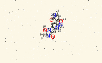 COC1=N[C@H](C(C)C)C(OC)=N[C@H]1Cc1ccc(-c2c(OC)cc(C)n(C)c2=O)c2nccn12